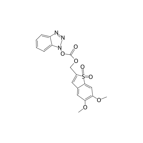 COc1cc2c(cc1OC)S(=O)(=O)C(COC(=O)On1nnc3ccccc31)=C2